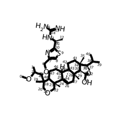 COC(C)[C@H](OCc1csc([C@H](C)NC(=N)N)n1)C1(C)COC[C@@]2(C)C3=CC[C@@]4(C)[C@H](C(=O)O)[C@@](C)([C@H](C)C(C)C)CC[C@]4(C)[C@H]3CCC12